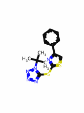 CC(C)(C)n1nnnc1Sc1nc(-c2ccccc2)cs1